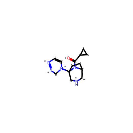 O=C(C1CC1)N1C2CCC1(N1C=CN=NC1)CNC2